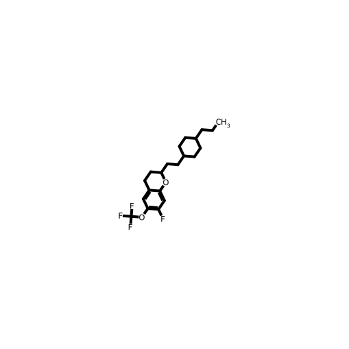 CCCC1CCC(CCC2CCc3cc(OC(F)(F)F)c(F)cc3O2)CC1